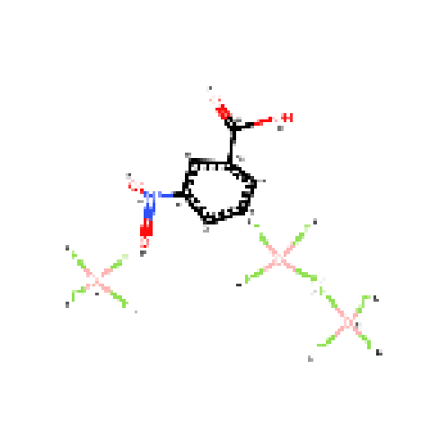 F[B-](F)(F)F.F[B-](F)(F)F.F[B-](F)(F)F.O=C(O)c1cccc([N+](=O)[O-])c1